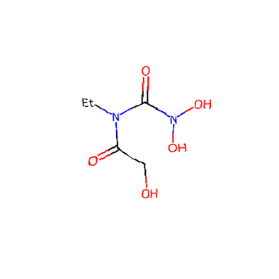 CCN(C(=O)CO)C(=O)N(O)O